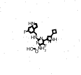 Nc1nc(NCc2cc(F)cc3[nH]ccc23)nc(-c2cc(C3CCC3)[nH]n2)c1F.O=CO